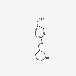 NCc1ccc(OCC2CCCNC2)cc1